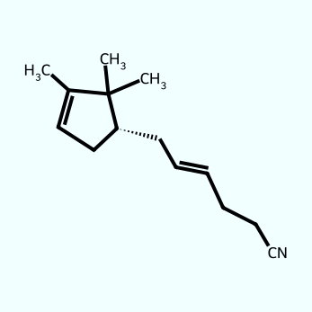 CC1=CC[C@@H](CC=CCCC#N)C1(C)C